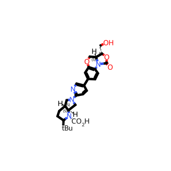 CC(C)(C)C1CC[C@H]2CN(c3ccc(-c4ccc5c(c4)OC[C@H]4[C@H](CO)OC(=O)N54)cn3)C[C@H]2N1C(=O)O